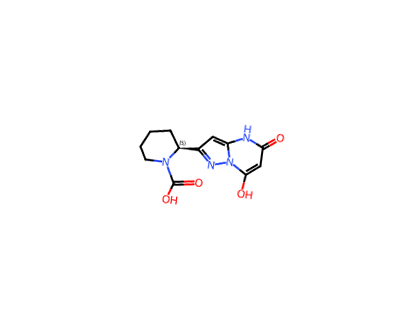 O=C(O)N1CCCC[C@H]1c1cc2[nH]c(=O)cc(O)n2n1